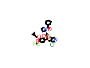 O=C(C[C@@H]1CCCN1C(=O)c1ccccc1)O[C@@H](Cc1c(Cl)cncc1Cl)c1ccc(OC(F)F)c(OCC2CC2)c1